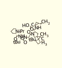 C=C[C@@H]1C[C@]1(NC(=O)[C@@H]1C[C@@]2(CN1C(=O)[C@@H](NC(=O)[C@@H](NC(=O)[C@@H]1CCCCN1C(C)C)C(C)(C)C)C(C)(C)C)C(C)(C)C21CCC1)C(=O)O